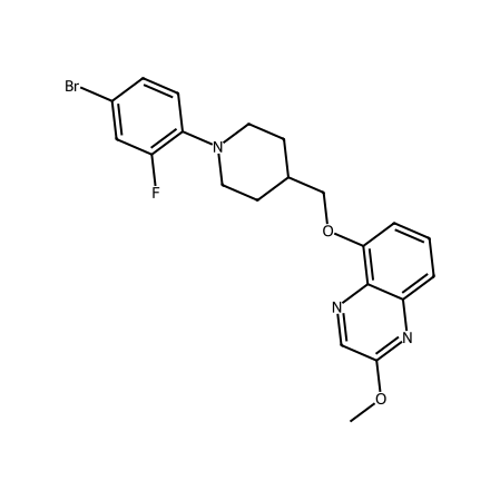 COc1cnc2c(OCC3CCN(c4ccc(Br)cc4F)CC3)cccc2n1